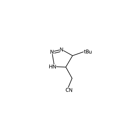 CC(C)(C)C1N=NNC1CC#N